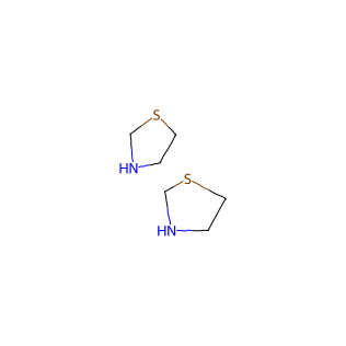 C1CSCN1.C1CSCN1